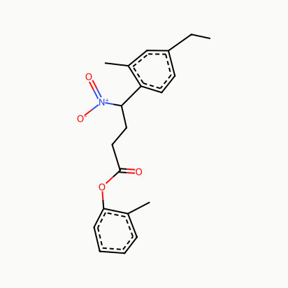 CCc1ccc(C(CCC(=O)Oc2ccccc2C)[N+](=O)[O-])c(C)c1